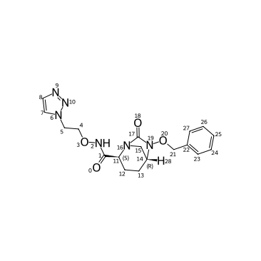 O=C(NOCCn1ccnn1)[C@@H]1CC[C@@H]2CN1C(=O)N2OCc1ccccc1